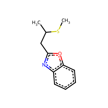 CSC(C)Cc1nc2ccccc2o1